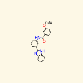 CCCCOc1cccc(C(=O)Nc2cccc(-c3nc4ccccc4[nH]3)c2)c1